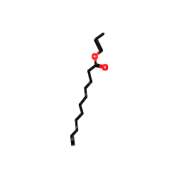 C=CCCCCCCCCC(=O)OC=CC